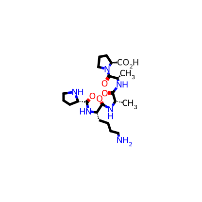 C[C@H](NC(=O)[C@H](CCCCN)NC(=O)[C@@H]1CCCN1)C(=O)N[C@@H](C)C(=O)N1CCC[C@H]1C(=O)O